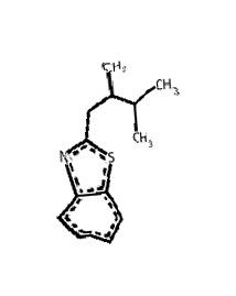 CC(C)C(C)Cc1nc2ccccc2s1